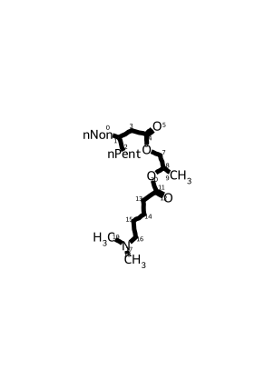 CCCCCCCCCC(CCCCC)CC(=O)OCC(C)OC(=O)CCCCN(C)C